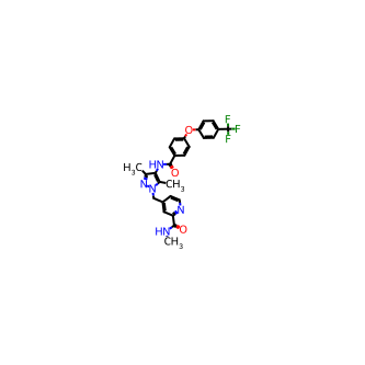 CNC(=O)c1cc(Cn2nc(C)c(NC(=O)c3ccc(Oc4ccc(C(F)(F)F)cc4)cc3)c2C)ccn1